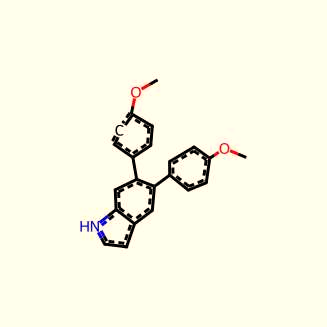 COc1ccc(-c2cc3cc[nH]c3cc2-c2ccc(OC)cc2)cc1